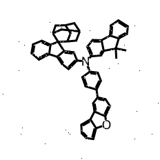 CC1(C)c2ccccc2-c2ccc(N(c3ccc(-c4ccc5oc6ccccc6c5c4)cc3)c3ccc4c(c3)C3(c5ccccc5-4)C4CC5CC(C4)CC3C5)cc21